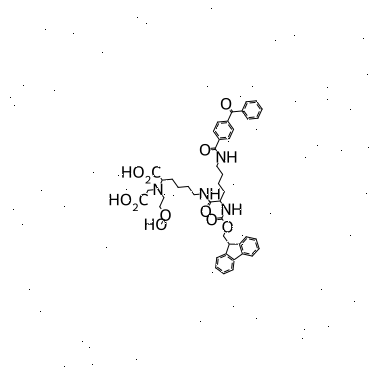 O=C(O)CN(CCOO)C(CCCCNC(=O)C(CCCCNC(=O)c1ccc(C(=O)c2ccccc2)cc1)NC(=O)OCC1c2ccccc2-c2ccccc21)C(=O)O